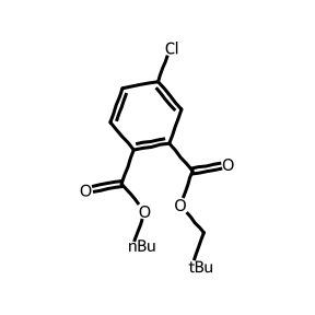 CCCCOC(=O)c1ccc(Cl)cc1C(=O)OCC(C)(C)C